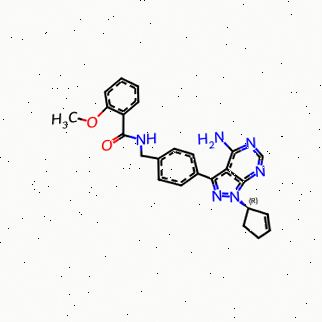 COc1ccccc1C(=O)NCc1ccc(-c2nn([C@H]3C=CCC3)c3ncnc(N)c23)cc1